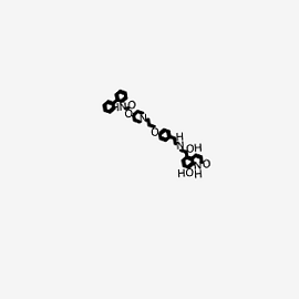 O=C(Nc1ccccc1-c1ccccc1)OC1CCN(CCCOc2ccc(CCNC[C@@H](O)c3ccc(O)c4[nH]c(=O)ccc34)cc2)CC1